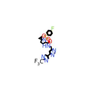 O=C(NCc1cc(-c2cnc(C(F)(F)F)nc2)ncn1)C1CCC2(CC2)N1S(=O)(=O)c1ccc(F)cc1